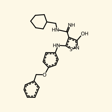 N=C(NCC1CCCCC1)c1c(O)nsc1Nc1ccc(OCc2ccccc2)cc1